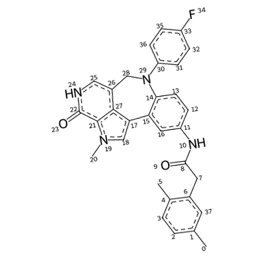 Cc1ccc(C)c(CC(=O)Nc2ccc3c(c2)-c2cn(C)c4c(=O)[nH]cc(c24)CN3c2ccc(F)cc2)c1